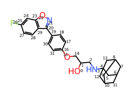 OC(CNC12CC3CC(CC(C3)C1)C2)COc1ccc(-c2noc3cc(F)ccc23)cc1